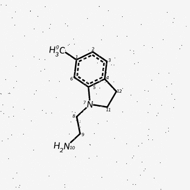 Cc1ccc2c(c1)N(CCN)CC2